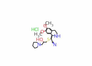 COc1cc2c(cc1OC)C(=C(C#N)SCC(O)CN1CCCCC1)NCC2.Cl